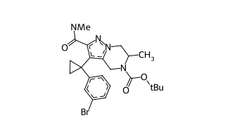 CNC(=O)c1nn2c(c1C1(c3cccc(Br)c3)CC1)CN(C(=O)OC(C)(C)C)C(C)C2